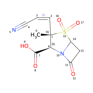 C[C@]1(/C=C\C#N)[C@H](C(=O)O)N2C(=O)CC2S1(=O)=O